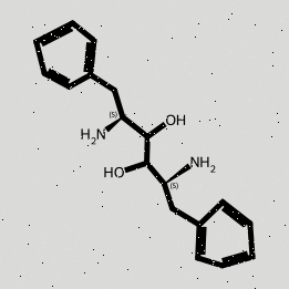 N[C@@H](Cc1ccccc1)C(O)C(O)[C@@H](N)Cc1ccccc1